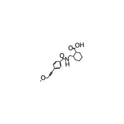 COCC#Cc1ccc(C(=O)NCC2CCCCC2C(=O)O)cc1